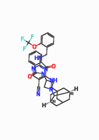 N#Cc1cnc(NCc2ccccc2OC(F)(F)F)nc1NCC12CC3C[C@H](C1)C(N1CC(N4C(=O)c5ccccc5C4=O)C1)[C@@H](C3)C2